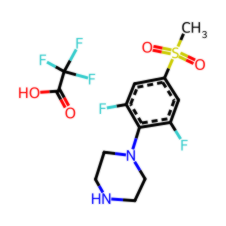 CS(=O)(=O)c1cc(F)c(N2CCNCC2)c(F)c1.O=C(O)C(F)(F)F